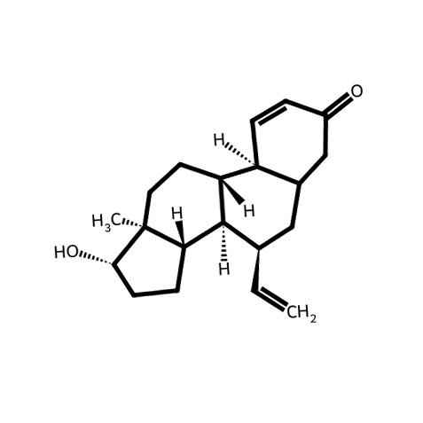 C=C[C@@H]1CC2CC(=O)C=C[C@@H]2[C@H]2CC[C@]3(C)[C@@H](O)CC[C@H]3[C@@H]21